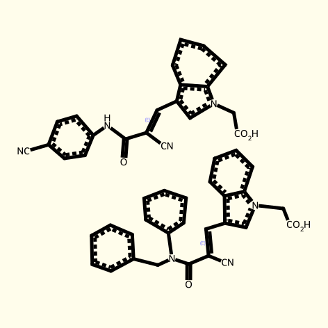 N#C/C(=C\c1cn(CC(=O)O)c2ccccc12)C(=O)N(Cc1ccccc1)c1ccccc1.N#C/C(=C\c1cn(CC(=O)O)c2ccccc12)C(=O)Nc1ccc(C#N)cc1